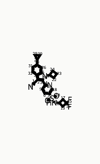 N#Cc1c(-c2ccc(S(=O)(=O)NC3CC(F)(F)C3)cn2)n(C2CCC2)c2cc(C3CC3)ccc12